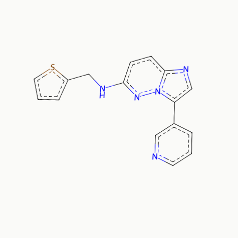 c1cncc(-c2cnc3ccc(NCc4cccs4)nn23)c1